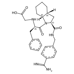 N=C(N)c1ccc(CNC(=O)[C@@H]2C[C@H]3CCCC[C@H]3N2C(=O)[C@@H](Cc2ccccc2)NCC(=O)O)cc1